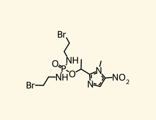 CC(OP(=O)(NCCBr)NCCBr)c1ncc([N+](=O)[O-])n1C